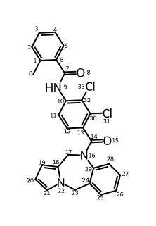 Cc1ccccc1C(=O)Nc1ccc(C(=O)N2Cc3cccn3Cc3ccccc32)c(Cl)c1Cl